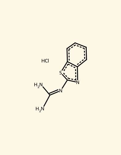 Cl.NC(N)=Nc1nc2ccccc2s1